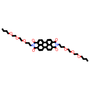 CCCCOCCOCCOCCCN1C(=O)c2ccc3c4c(c5c6c7c(ccc63)C(=O)N(CCCOCCOCCOCCCC)C(=O)C7C=C5)C=CC(C1=O)c24